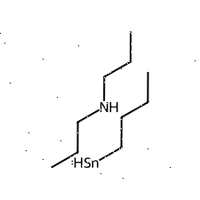 CCCNCCC.CCC[CH2][SnH]